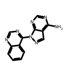 Nc1ncnc2c1cnn2-c1ncnc2ccccc12